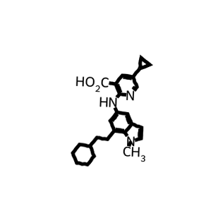 Cn1ccc2cc(Nc3ncc(C4CC4)cc3C(=O)O)cc(CCC3CCCCC3)c21